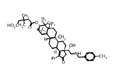 Cc1ccc(CNC[C@@H](O)[C@@]23CCC4[C@H](CC[C@@H]5[C@@]6(C)CC[C@H](OC(=O)CC(C)(C)CC(=O)O)C(C)(C)[C@@H]6CC[C@@]45C)C2=C(C(C)C)C(=O)C3)cc1